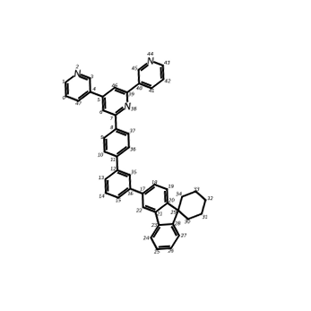 c1cncc(-c2cc(-c3ccc(-c4cccc(-c5ccc6c(c5)-c5ccccc5C65CCCCC5)c4)cc3)nc(-c3cccnc3)c2)c1